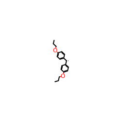 CCCOc1ccc([CH]c2ccc(OCCC)cc2)cc1